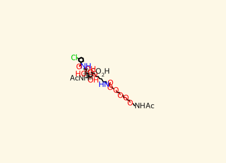 CC(=O)NCCOCCOCCOCCOCCOC(=O)NCCCCCCO[C@]1(C(=O)O)C[C@H](O)[C@@H](NC(C)=O)[C@H]([C@H](O)[C@H](O)CNC(=O)c2cccc(Cl)c2)O1